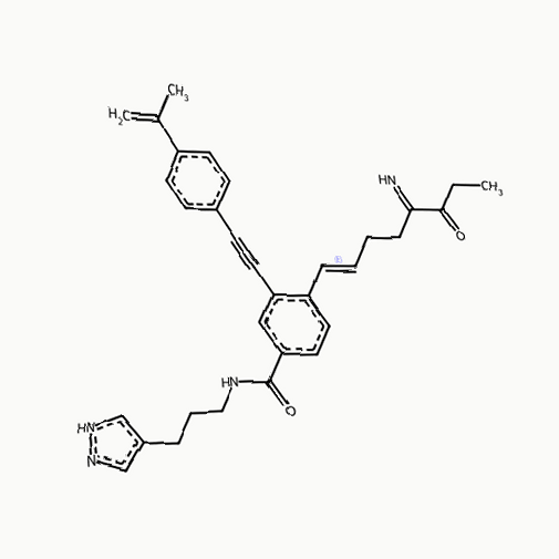 C=C(C)c1ccc(C#Cc2cc(C(=O)NCCCc3cn[nH]c3)ccc2/C=C/CCC(=N)C(=O)CC)cc1